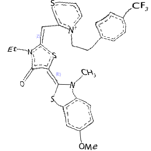 CCn1c(=O)/c(=C2\Sc3cc(OC)ccc3N2C)s/c1=C\c1scc[n+]1CCc1ccc(C(F)(F)F)cc1